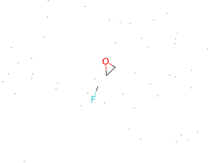 C1CO1.CF